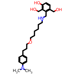 CN(C)c1ccc(CCCOCCCCCCNCc2c(CO)ccc(O)c2CO)cc1